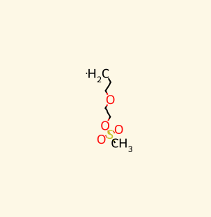 [CH2]CCOCCOS(C)(=O)=O